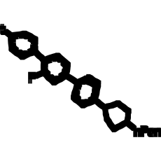 CCCCCC1CCC(c2c#cc(-c3ccc(-c4ccc(CC)cc4)c(F)c3)cc2)CC1